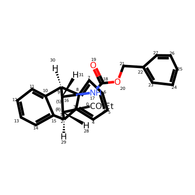 CCOC(=O)[C@@H]1[C@H]2c3ccccc3[C@H](c3ccccc32)[C@@H]1NC(=O)OCc1ccccc1